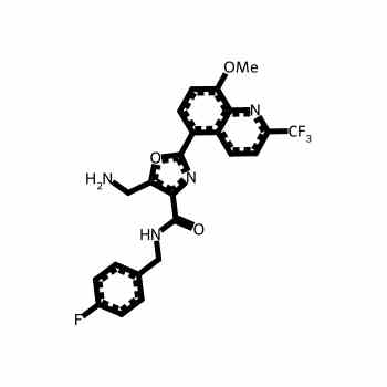 COc1ccc(-c2nc(C(=O)NCc3ccc(F)cc3)c(CN)o2)c2ccc(C(F)(F)F)nc12